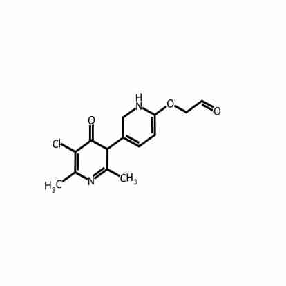 CC1=NC(C)=C(Cl)C(=O)C1C1=CC=C(OCC=O)NC1